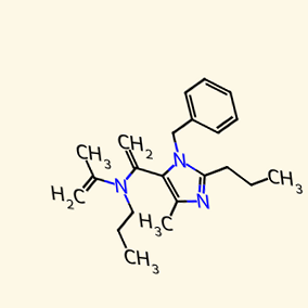 C=C(C)N(CCC)C(=C)c1c(C)nc(CCC)n1Cc1ccccc1